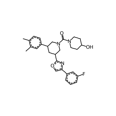 Cc1ccc(C2CC(c3nc(-c4cccc(F)c4)co3)CN(C(=O)N3CCC(O)CC3)C2)cc1C